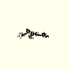 C=C1C[C@H](C[C@@H]2C[C@@H](O[Si](C)(C)C(C)(C)C)C[C@H](c3coc(/C=C/C[C@H]4O[C@@H](/C(C)=C/I)[C@H](C)[C@@H](C)[C@H]4C)n3)O2)O[C@@H](CCOB(P)S)C1